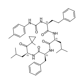 Cc1ccc(NC(=O)N[C@@H](CCc2ccccc2)C(=O)N[C@@H](CC(C)C)C(=O)N[C@@H](Cc2ccccc2)C(=O)N[C@@H](CC(C)C)C(=O)C2(C)CC2)cc1